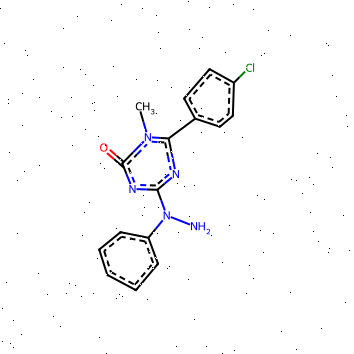 Cn1c(-c2ccc(Cl)cc2)nc(N(N)c2ccccc2)nc1=O